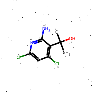 CC(C)(O)c1c(Cl)cc(Cl)nc1N